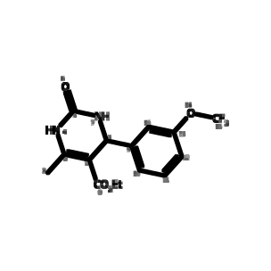 CCOC(=O)C1=C(C)NC(=O)NC1c1cccc(OC(F)(F)F)c1